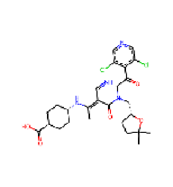 C/C(N[C@H]1CC[C@H](C(=O)O)CC1)=C(/C=N)C(=O)N(CC(=O)c1c(Cl)cncc1Cl)C[C@H]1CCC(C)(C)O1